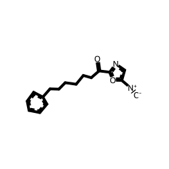 [C-]#[N+]c1cnc(C(=O)CCCCCCc2ccccc2)o1